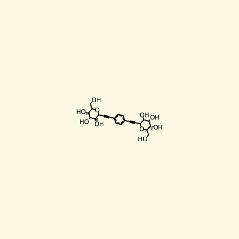 OCC1OC(C#Cc2ccc(C#CC3O[C@H](CO)[C@@H](O)C(O)C3O)cc2)[C@@H](O)C(O)[C@@H]1O